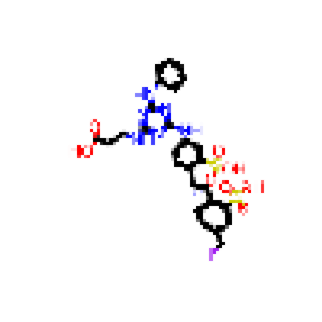 O=C(O)CCNc1nc(Nc2ccccc2)nc(Nc2ccc(/C=C/c3ccc(CI)cc3S(=O)(=O)O)c(S(=O)(=O)O)c2)n1